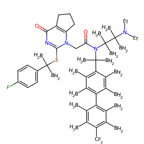 Bc1c(B)c(C(F)(F)F)c(B)c(B)c1-c1c(B)c(B)c(C(B)(B)N(C(=O)Cn2c(SC(B)(B)c3ccc(F)cc3)nc(=O)c3c2CCC3)C(B)(B)C(B)(B)N(CC)CC)c(B)c1B